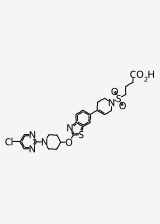 O=C(O)CCCS(=O)(=O)N1CC=C(c2ccc3nc(OC4CCN(c5ncc(Cl)cn5)CC4)sc3c2)CC1